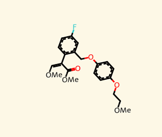 COC=C(C(=O)OC)c1ccc(F)cc1COc1ccc(OCCOC)cc1